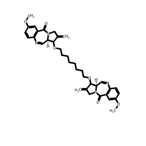 C=C1CN2C(=O)c3cc(OC)ccc3N=C[C@@H]2C1OCCCCCCCCOC1C(=C)CN2C(=O)c3cc(OC)ccc3N=C[C@H]12